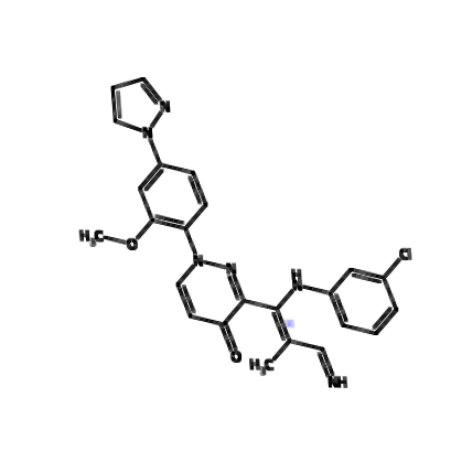 COc1cc(-n2cccn2)ccc1-n1ccc(=O)c(/C(Nc2cccc(Cl)c2)=C(\C)C=N)n1